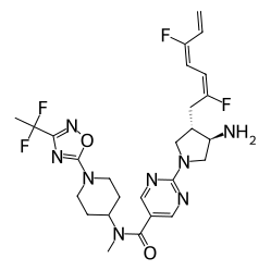 C=C/C(F)=C\C=C(\F)C[C@H]1CN(c2ncc(C(=O)N(C)C3CCN(c4nc(C(C)(F)F)no4)CC3)cn2)C[C@@H]1N